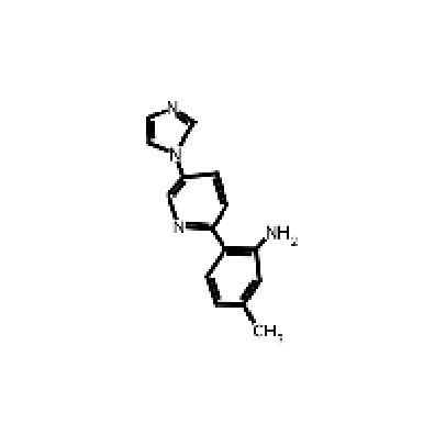 Cc1ccc(-c2ccc(-n3ccnc3)cn2)c(N)c1